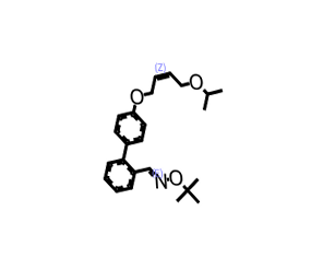 CC(C)OC/C=C\COc1ccc(-c2ccccc2/C=N/OC(C)(C)C)cc1